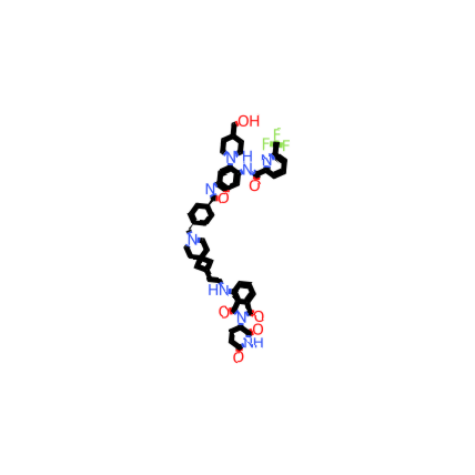 O=C1CCC(N2C(=O)c3cccc(NCCC4CC5(CCN(C[C@H]6CC[C@H](c7nc8cc(N9CCC(CO)CC9)c(NC(=O)c9cccc(C(F)(F)F)n9)cc8o7)CC6)CC5)C4)c3C2=O)C(=O)N1